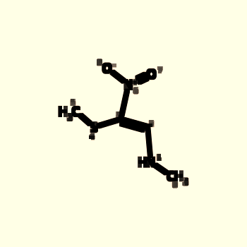 CNC=C(SC)[N+](=O)[O-]